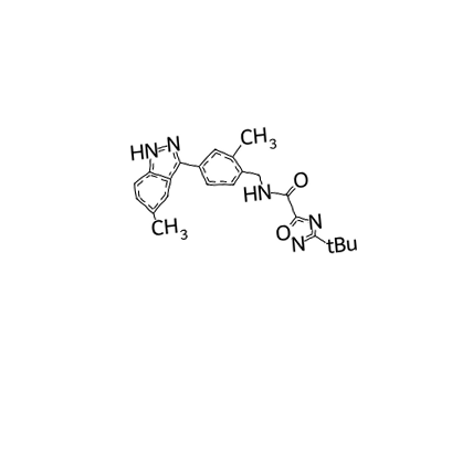 Cc1ccc2[nH]nc(-c3ccc(CNC(=O)c4nc(C(C)(C)C)no4)c(C)c3)c2c1